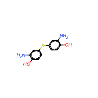 Nc1cc(Sc2ccc(O)c(N)c2)ccc1O